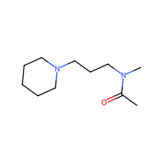 CC(=O)N(C)CCCN1CCCCC1